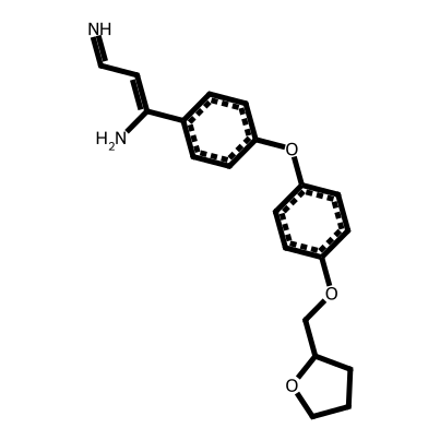 N=C/C=C(\N)c1ccc(Oc2ccc(OCC3CCCO3)cc2)cc1